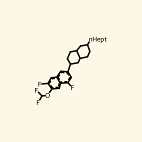 CCCCCCCC1CCC2CC(c3cc(F)c4cc(OC(F)F)c(F)cc4c3)CCC2C1